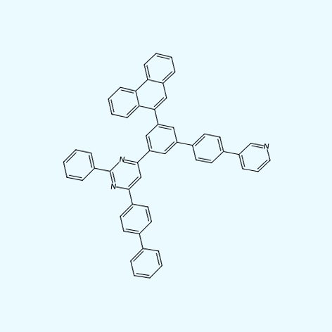 c1ccc(-c2ccc(-c3cc(-c4cc(-c5ccc(-c6cccnc6)cc5)cc(-c5cc6ccccc6c6ccccc56)c4)nc(-c4ccccc4)n3)cc2)cc1